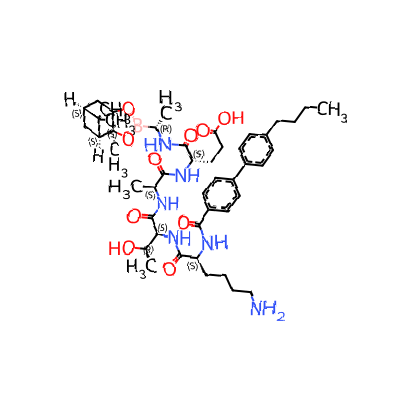 CCCCc1ccc(-c2ccc(C(=O)N[C@@H](CCCCN)C(=O)N[C@H](C(=O)N[C@@H](C)C(=O)N[C@@H](CCC(=O)O)C(=O)N[C@@H](C)B3OC4C[C@@H]5C[C@@H](C5(C)C)[C@]4(C)O3)[C@@H](C)O)cc2)cc1